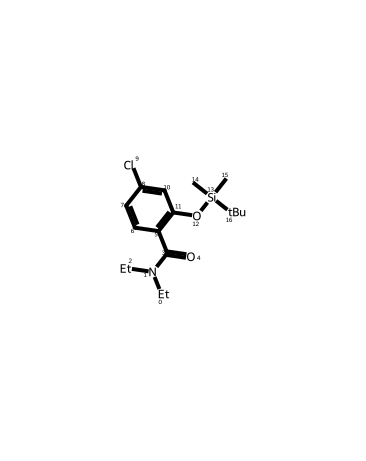 CCN(CC)C(=O)c1ccc(Cl)cc1O[Si](C)(C)C(C)(C)C